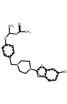 CC(=O)OC(C)Oc1ccc(CN2CCN(c3nc4ccc(Cl)cc4s3)CC2)cc1